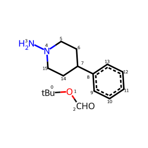 CC(C)(C)OC=O.NN1CCC(c2ccccc2)CC1